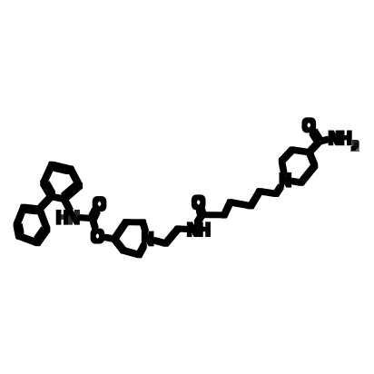 NC(=O)C1CCN(CCCCCC(=O)NCCN2CCC(OC(=O)Nc3ccccc3-c3ccccc3)CC2)CC1